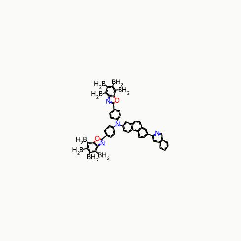 Bc1c(B)c(B)c2oc(-c3ccc(N(c4ccc(-c5nc6c(B)c(B)c(B)c(B)c6o5)cc4)c4ccc5c(ccc6cc(-c7cc8ccccc8cn7)ccc65)c4)cc3)nc2c1B